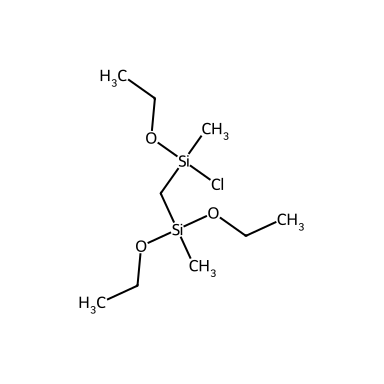 CCO[Si](C)(Cl)C[Si](C)(OCC)OCC